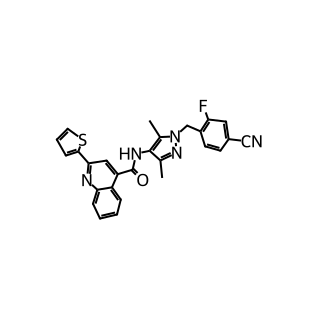 Cc1nn(Cc2ccc(C#N)cc2F)c(C)c1NC(=O)c1cc(-c2cccs2)nc2ccccc12